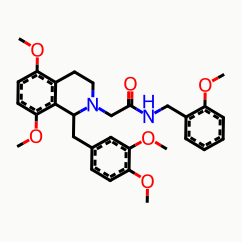 COc1ccccc1CNC(=O)CN1CCc2c(OC)ccc(OC)c2C1Cc1ccc(OC)c(OC)c1